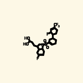 O=S(=O)(C1=CCCC(C2CCC(C(F)(F)F)=CC2F)C1)N1CC(CCC(O)O)C2CC(F)=CCC21